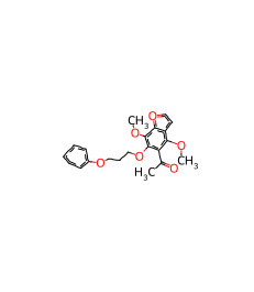 COc1c(C(C)=O)c(OCCCOc2ccccc2)c(OC)c2occc12